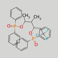 CC(OP(=O)(c1ccccc1)c1ccccc1)C(C)C(CC(F)(F)F)OP(=O)(c1ccccc1)c1ccccc1